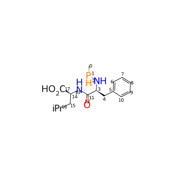 CPN[C@@H](Cc1ccccc1)C(=O)N[C@@H](CC(C)C)C(=O)O